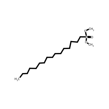 CCCCCCCCCCCCCCCCP(=O)(OC)OC